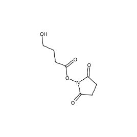 O=C(CCCO)ON1C(=O)CCC1=O